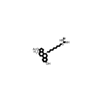 CC(=O)O[C@H]1CCC2C3C(CC[C@@]21C)c1ccc(O)cc1C[C@H]3CCCCCCCCCSC(=N)NBr